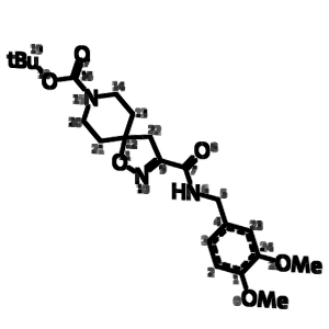 COc1ccc(CNC(=O)C2=NOC3(CCN(C(=O)OC(C)(C)C)CC3)C2)cc1OC